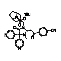 CN1C(=CC(=O)c2ccc(C#N)cc2)N(CC2CC3CCC(C2)N3C(=O)OC(C)(C)C)C(=O)C1(c1ccncc1)c1ccncc1